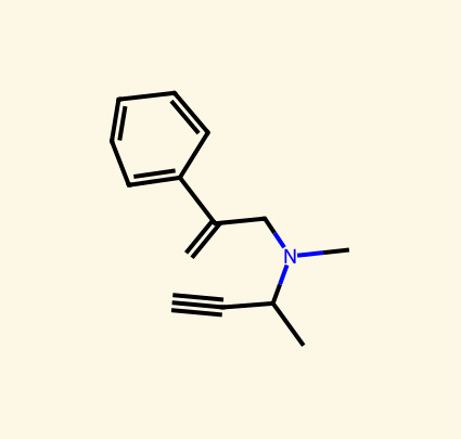 C#CC(C)N(C)CC(=C)c1ccccc1